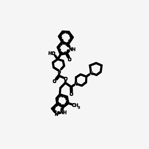 Cc1cc(CC(OC(=O)N2CCC(O)(c3cc4ccccc4[nH]c3=O)CC2)C(=O)N2CCC(N3CCCCC3)CC2)cc2cn[nH]c12